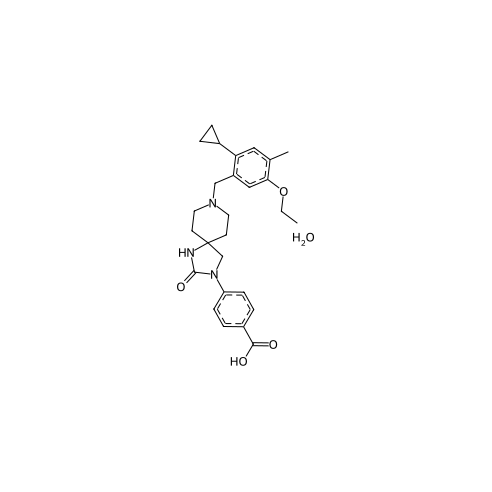 CCOc1cc(CN2CCC3(CC2)CN(c2ccc(C(=O)O)cc2)C(=O)N3)c(C2CC2)cc1C.O